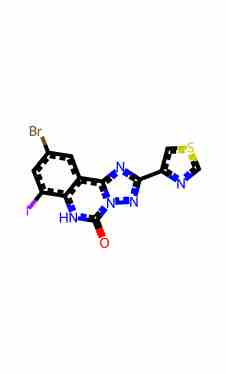 O=c1[nH]c2c(I)cc(Br)cc2c2nc(-c3cscn3)nn12